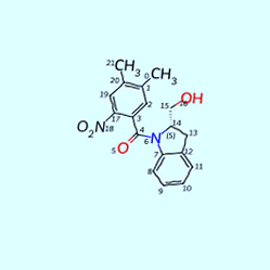 Cc1cc(C(=O)N2c3ccccc3C[C@H]2CO)c([N+](=O)[O-])cc1C